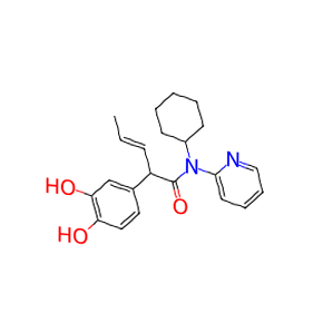 C/C=C/C(C(=O)N(c1ccccn1)C1CCCCC1)c1ccc(O)c(O)c1